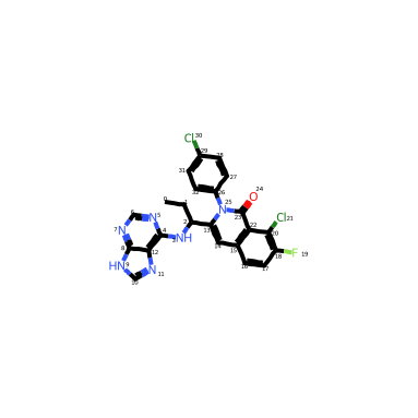 CCC(Nc1ncnc2[nH]cnc12)c1cc2ccc(F)c(Cl)c2c(=O)n1-c1ccc(Cl)cc1